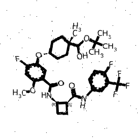 COc1cc(F)c(O[C@H]2CC[C@@](C)(C(O)OC(C)(C)C)CC2)cc1C(=O)N[C@@H]1CC[C@@H]1C(=O)Nc1ccc(F)c(C(F)(F)F)c1